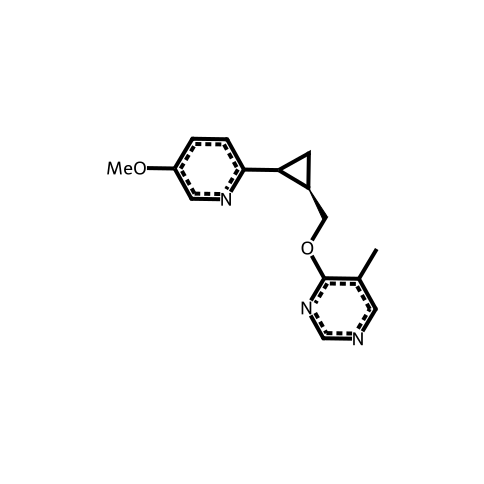 COc1ccc(C2C[C@H]2COc2ncncc2C)nc1